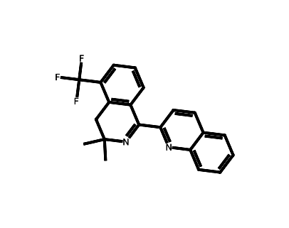 CC1(C)Cc2c(cccc2C(F)(F)F)C(c2ccc3ccccc3n2)=N1